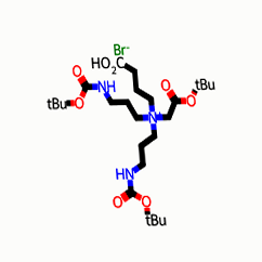 CC(C)(C)OC(=O)C[N+](CCCNC(=O)OC(C)(C)C)(CCCNC(=O)OC(C)(C)C)CCCC(=O)O.[Br-]